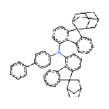 c1ccc(-c2ccc(N(c3cccc4c3-c3ccccc3C43CC4CCC3C4)c3cccc4c3-c3ccccc3C43C4CC5CC(C4)CC3C5)cc2)cc1